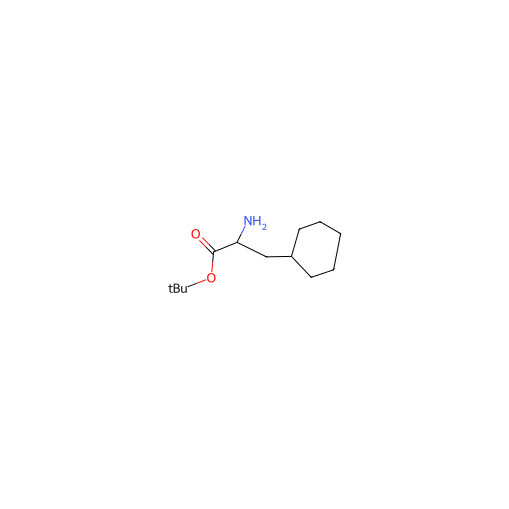 CC(C)(C)OC(=O)C(N)CC1CCCCC1